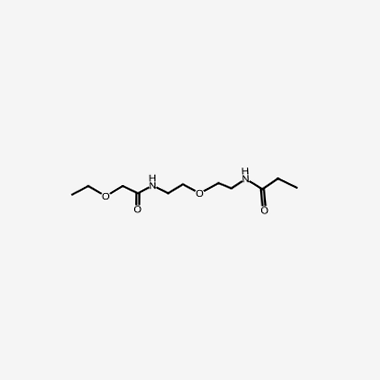 CCOCC(=O)NCCOCCNC(=O)CC